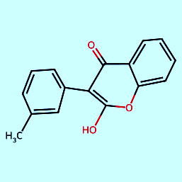 Cc1cccc(-c2c(O)oc3ccccc3c2=O)c1